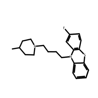 CC1CCN(CCCCN2c3ccccc3Sc3ccc(F)cc32)CC1